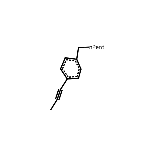 CC#Cc1ccc(CCCCCC)cc1